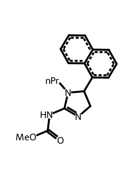 CCCN1C(NC(=O)OC)=NCC1c1cccc2ccccc12